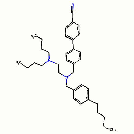 CCCCCc1ccc(CN(CCN(CCCC)CCCC)Cc2ccc(-c3ccc(C#N)cc3)cc2)cc1